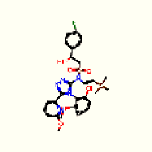 COc1cccc(-c2nnc(N(/C=C/S(C)(C)C)S(=O)(=O)C[C@@H](O)c3ccc(F)cc3)n2-c2c(O)cccc2OC)n1